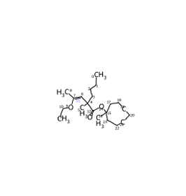 CCCCC(C)(/C=C(/C)OCC)C(=O)OC1(C)CCCCCCC1